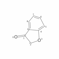 O=C1[C]Oc2ccccc21